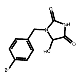 O=C1NC(=O)N(Cc2ccc(Br)cc2)C1O